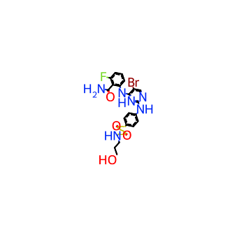 NC(=O)c1c(F)cccc1Nc1nc(Nc2ccc(S(=O)(=O)NCCCO)cc2)ncc1Br